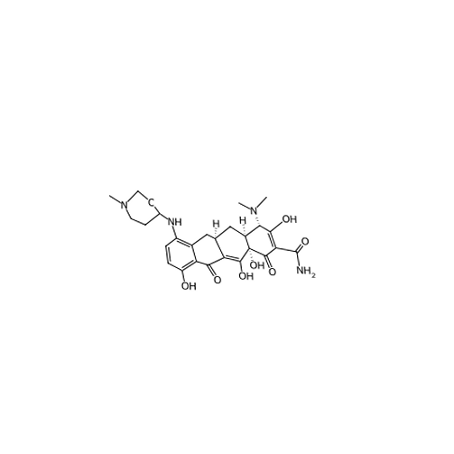 CN1CCC(Nc2ccc(O)c3c2C[C@H]2C[C@H]4[C@H](N(C)C)C(O)=C(C(N)=O)C(=O)[C@@]4(O)C(O)=C2C3=O)CC1